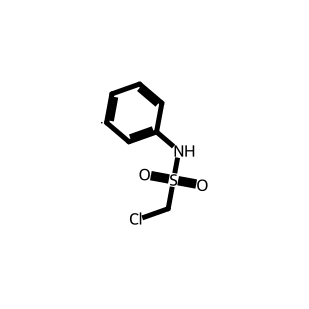 O=S(=O)(CCl)Nc1c[c]ccc1